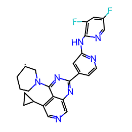 Fc1cnc(Nc2cc(-c3nc(N4C[CH]CCC4)c4c(C5CC5)cncc4n3)ccn2)c(F)c1